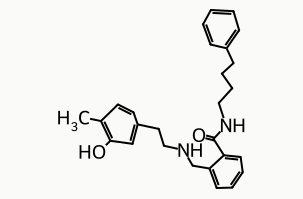 Cc1ccc(CCNCc2ccccc2C(=O)NCCCCc2ccccc2)cc1O